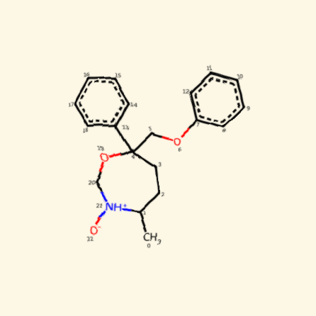 CC1CCC(COc2ccccc2)(c2ccccc2)OC[NH+]1[O-]